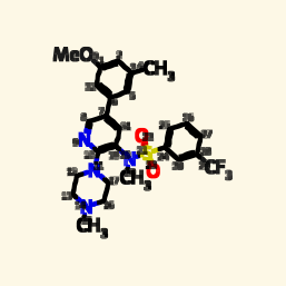 COc1cc(C)cc(-c2cnc(N3CCN(C)CC3)c(N(C)S(=O)(=O)c3cccc(C(F)(F)F)c3)c2)c1